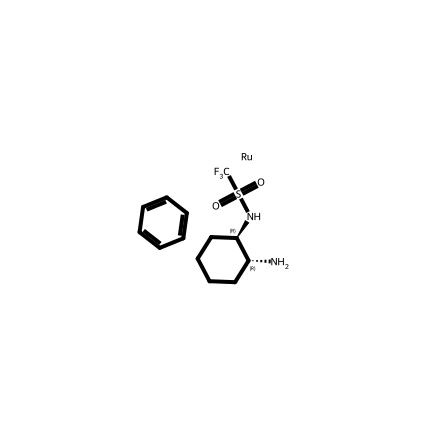 N[C@@H]1CCCC[C@H]1NS(=O)(=O)C(F)(F)F.[Ru].c1ccccc1